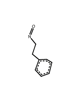 O=NCCc1ccccc1